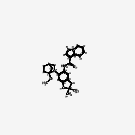 COC12CCC(CN1c1cc3c(cc1NC(=O)c1cnn4cccnc14)CC(C)(C)O3)C2